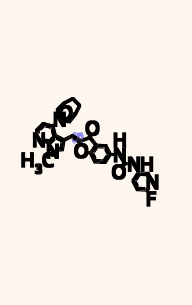 Cn1cc(/C=C2\Oc3ccc(NC(=O)Nc4ccc(F)nc4)cc3C2=O)c2c(N3CC4CCC(C3)O4)ccnc21